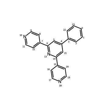 c1ccc(-c2cc(-c3ccncc3)nc(-c3ccncc3)c2)cc1